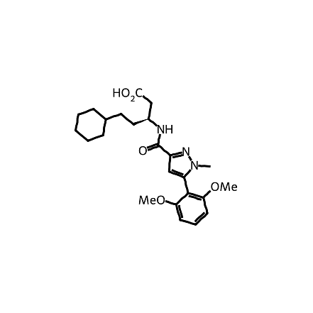 COc1cccc(OC)c1-c1cc(C(=O)N[C@@H](CCC2CCCCC2)CC(=O)O)nn1C